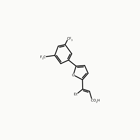 CC/C(=C\C(=O)O)c1ccc(-c2cc(C(F)(F)F)cc(C(F)(F)F)c2)o1